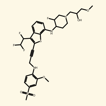 COCC(O)CN1CCC(Nc2cccc3c(C(F)C(F)F)c(C#CCNc4ccc(S(C)(=O)=O)cc4OC)sc23)C(F)C1